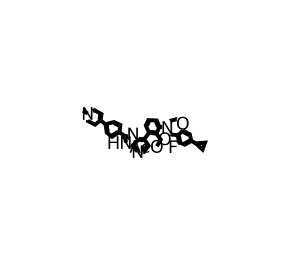 CC(=O)OCc1c(-c2ccnc3[nH]c(-c4ccc(C5=CCN(C)CC5)cc4)nc23)cccc1N1CCOc2cc(C3CC3)cc(F)c2C1=O